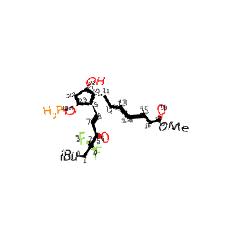 CC[C@H](C)CC(F)(F)C(=O)/C=C/[C@@H]1[C@@H](CCCCCCC(=O)OC)[C@@H](O)C[C@H]1OP